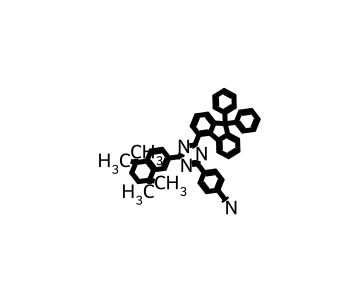 CC1(C)CCC(C)(C)c2cc(-c3nc(-c4ccc(C#N)cc4)nc(-c4cccc5c4-c4ccccc4C5(c4ccccc4)c4ccccc4)n3)ccc21